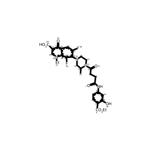 CCOC(=O)c1ccc(NC(=O)CCC(=O)N2CCN(c3c(F)cc4c(=O)c(C(=O)O)cn(CC)c4c3F)CC2C)cc1O